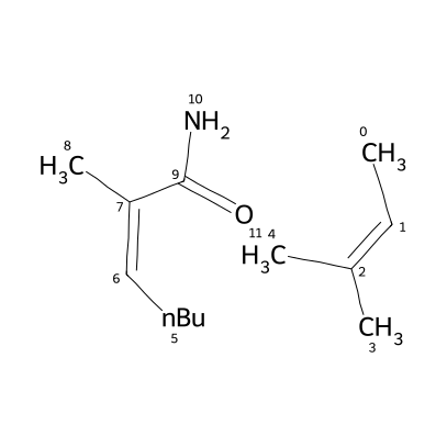 CC=C(C)C.CCCCC=C(C)C(N)=O